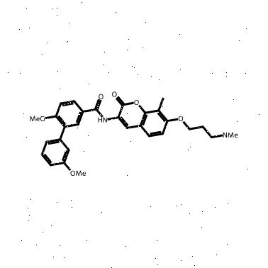 CNCCCOc1ccc2cc(NC(=O)c3ccc(OC)c(-c4cccc(OC)c4)c3)c(=O)oc2c1C